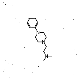 CN(C)CCN1CCN(C2=CC[CH]C=C2)CC1